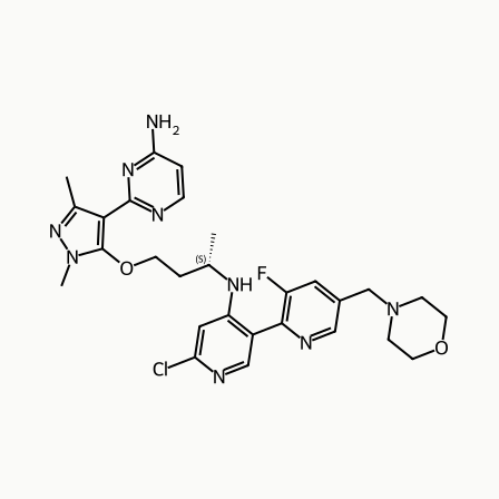 Cc1nn(C)c(OCC[C@H](C)Nc2cc(Cl)ncc2-c2ncc(CN3CCOCC3)cc2F)c1-c1nccc(N)n1